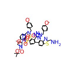 COc1ccc(CN(Cc2ccc(OC)cc2)S(=O)(=O)c2c(S(=O)(=O)N[C@@H]3CCN(C(=O)OC(C)(C)C)C3)ccc(-c3ccc4sc(CN)nc4c3)c2-c2nnn(Cc3ccc(OC)cc3)n2)cc1